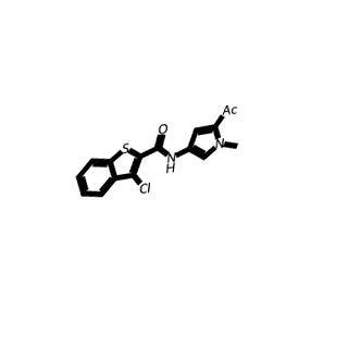 CC(=O)c1cc(NC(=O)c2sc3ccccc3c2Cl)cn1C